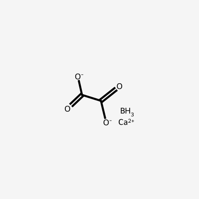 B.O=C([O-])C(=O)[O-].[Ca+2]